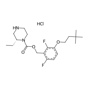 CC[C@@H]1CNCCN1C(=O)OCc1c(F)ccc(OCCC(C)(C)C)c1F.Cl